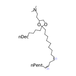 CCCCC/C=C\C/C=C\CCCCCCCCC1(CCCCCCCCCCCCCC)OCC(CCN(C)C)O1